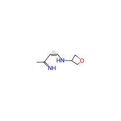 CC(=N)/C=C\NC1COC1